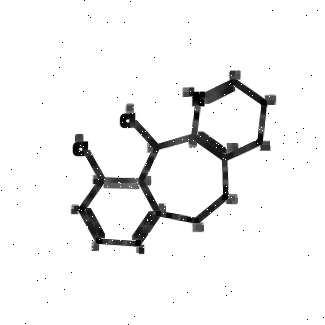 Clc1cccc2c1C(Cl)C1=C(CCC=N1)CC2